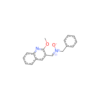 COc1nc2ccccc2cc1/C=[N+](\[O-])Cc1ccccc1